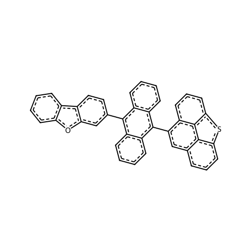 c1ccc2c(c1)oc1cc(-c3c4ccccc4c(-c4cc5cccc6sc7cccc4c7c56)c4ccccc34)ccc12